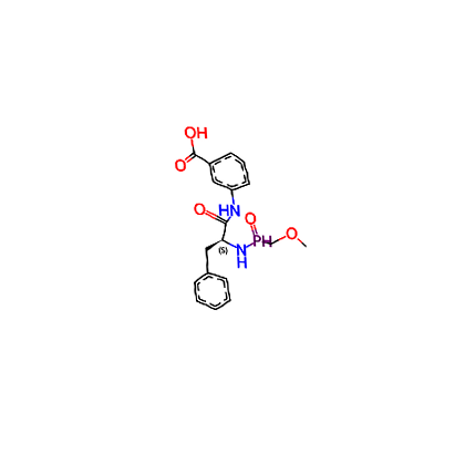 COC[PH](=O)N[C@@H](Cc1ccccc1)C(=O)Nc1cccc(C(=O)O)c1